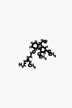 CCN(CC)CCCOc1cccc2c1-c1c(OC)cc(OC)cc1C2C=O